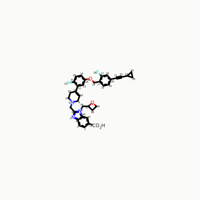 O=C(O)c1ccc2nc(CN3CC=C(c4cc(OCc5ccc(C#CC6CC6)cc5F)ccc4F)CC3)n(CC3CCO3)c2c1